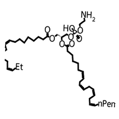 CC/C=C\C/C=C\C/C=C\CCCCCCCC(=O)OC[C@H](COP(=O)(O)OCCN)OC(=O)CCCCC/C=C\C/C=C\C/C=C\C/C=C\CCCCC